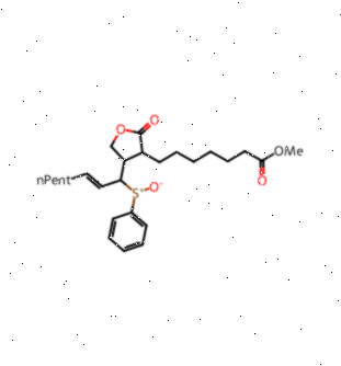 CCCCCC=CC(C1COC(=O)C1CCCCCCC(=O)OC)[S+]([O-])c1ccccc1